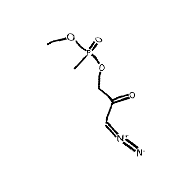 COP(C)(=O)OCC(=O)C=[N+]=[N-]